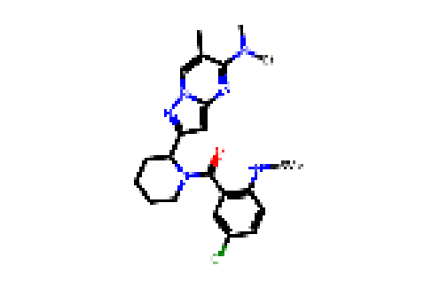 CCN(C)c1nc2cc(C3CCCCN3C(=O)c3cc(Cl)ccc3NSC)nn2cc1C